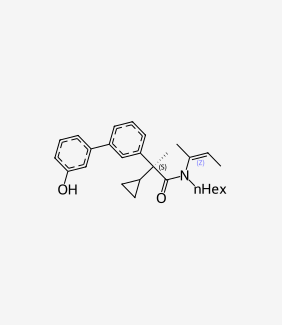 C/C=C(/C)N(CCCCCC)C(=O)[C@](C)(c1cccc(-c2cccc(O)c2)c1)C1CC1